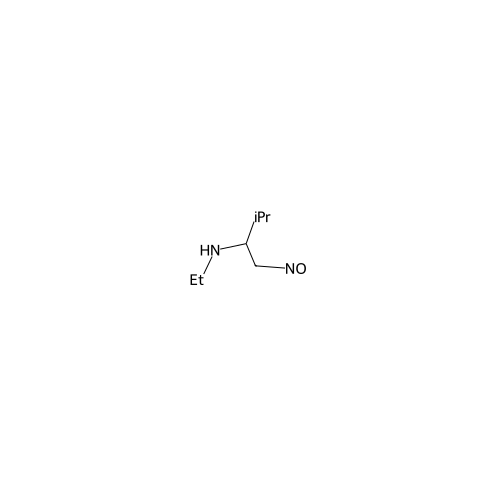 CCNC(CN=O)C(C)C